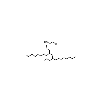 CCCCCCCCC(CCC)OC(CCC)CCCCCCCC.OCCO